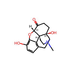 CN1CC[C@@]23c4c5ccc(O)c4O[C@@H]2C(=O)CC[C@]3(O)C1C5